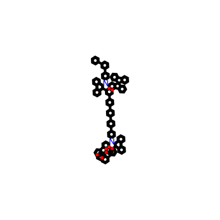 c1ccc(-c2ccc(-c3c(N(c4ccc(-c5ccc(-c6ccc(-c7ccc(-c8cccc(-c9c(N(c%10ccc(-c%11cccc(-c%12ccccc%12)c%11)cc%10)c%10ccc%11c(c%10)C%10(c%12ccccc%12-c%12ccccc%12%10)c%10ccccc%10-%11)c%10ccccc%10c%10ccccc9%10)c8)cc7)cc6)cc5)cc4)c4ccc5c(c4)C4(c6ccccc6-c6ccccc64)c4ccccc4-5)c4ccccc4c4ccccc34)cc2)cc1